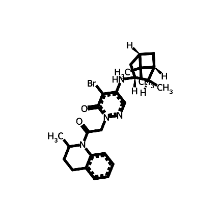 CC1CCc2ccccc2N1C(=O)Cn1ncc(N[C@@H]2C[C@@H]3C[C@H]([C@H]2C)C3(C)C)c(Br)c1=O